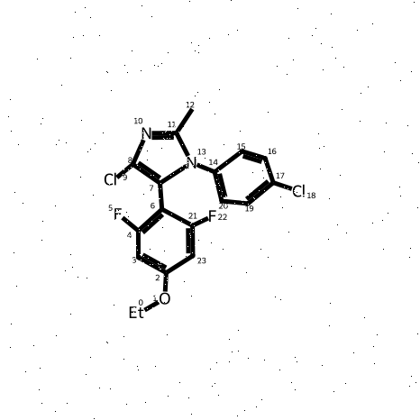 CCOc1cc(F)c(-c2c(Cl)nc(C)n2-c2ccc(Cl)cc2)c(F)c1